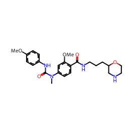 COc1ccc(NC(=O)N(C)c2ccc(C(=O)NCCCC3CNCCO3)c(OC)c2)cc1